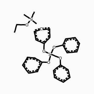 CCO[Si](C)(C)C.c1ccc(O[Si](Oc2ccccc2)(Oc2ccccc2)Oc2ccccc2)cc1